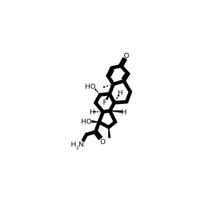 C[C@@H]1C[C@@H]2[C@H](C[C@H](O)[C@@]3(F)[C@H]2CCC2=CC(=O)C=C[C@@]23C)[C@@]1(O)C(=O)CN